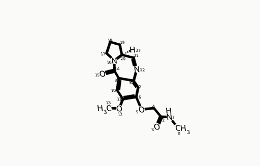 CNC(=O)COc1cc2c(cc1OC)C(=O)N1CCC[C@H]1C=N2